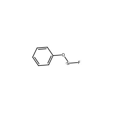 F[Si]Oc1ccccc1